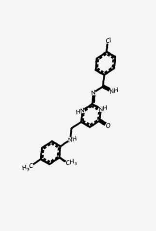 Cc1ccc(NCc2cc(=O)[nH]/c(=N\C(=N)c3ccc(Cl)cc3)[nH]2)c(C)c1